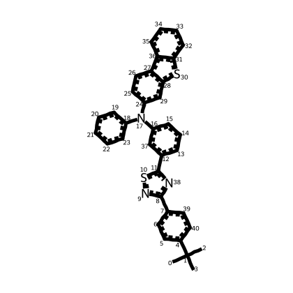 CC(C)(C)c1ccc(-c2nsc(-c3cccc(N(c4ccccc4)c4ccc5c(c4)sc4ccccc45)c3)n2)cc1